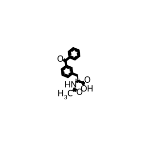 CC(=O)N[C@@H](Cc1cccc(C(=O)c2ccccc2)c1)C(=O)O